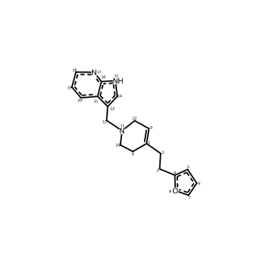 C1=C(CCc2ccco2)CCN(Cc2c[nH]c3ncccc23)C1